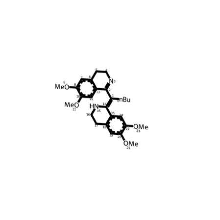 CCCCC(C1=NCCc2cc(OC)c(OC)cc21)=C1NCCc2cc(OC)c(OC)cc21